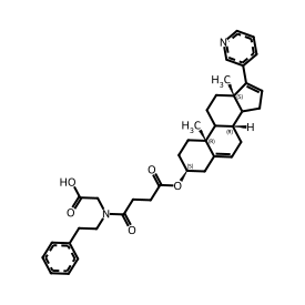 C[C@]12CC[C@H](OC(=O)CCC(=O)N(CCc3ccccc3)CC(=O)O)CC1=CC[C@@H]1C2CC[C@]2(C)C(c3cccnc3)=CCC12